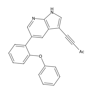 CC(=O)C#Cc1c[nH]c2ncc(-c3ccccc3Oc3ccccc3)cc12